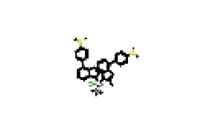 CC1=Cc2c(-c3ccc([S+](C)C)cc3)cccc2[CH]1[Zr]([Cl])([Cl])([CH]1C(C)=Cc2c(-c3ccc([S+](C)C)cc3)cccc21)[SiH](C)C